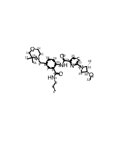 CCCNC(=O)c1cc(CN2CCOCC2(C)C)ccc1NC(=O)c1csc(N2C[C@H](OC)[C@H]2C)n1